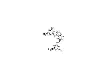 Cc1cc(N)nc(CCc2cccc(C(C)Cc3cc(C)cc(N)n3)c2)c1